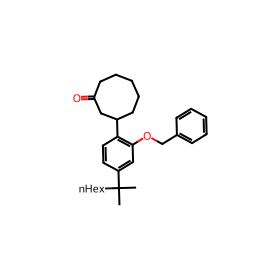 CCCCCCC(C)(C)c1ccc(C2CCCCCC(=O)C2)c(OCc2ccccc2)c1